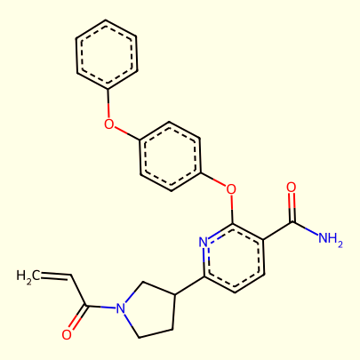 C=CC(=O)N1CCC(c2ccc(C(N)=O)c(Oc3ccc(Oc4ccccc4)cc3)n2)C1